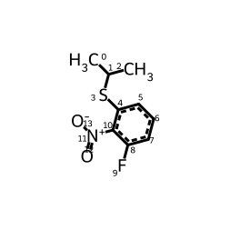 CC(C)Sc1cccc(F)c1[N+](=O)[O-]